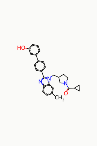 Cc1ccc2nc(-c3ccc(-c4cccc(O)c4)cc3)n(CC3CCN(C(=O)C4CC4)C3)c2c1